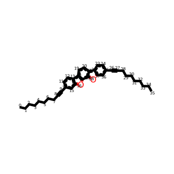 CCCCCCCCC#Cc1ccc2c(c1)oc1c2ccc2c3ccc(C#CCCCCCCCC)cc3oc21